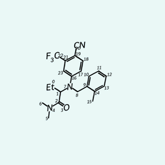 CCC(C(=O)N(C)C)N(Cc1ccccc1C)c1ccc(C#N)c(C(F)(F)F)c1